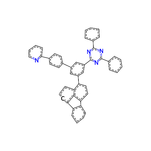 c1ccc(-c2nc(-c3ccccc3)nc(-c3cc(-c4ccc(-c5ccccn5)cc4)cc(-c4ccc5c6c(cccc46)-c4ccccc4-5)c3)n2)cc1